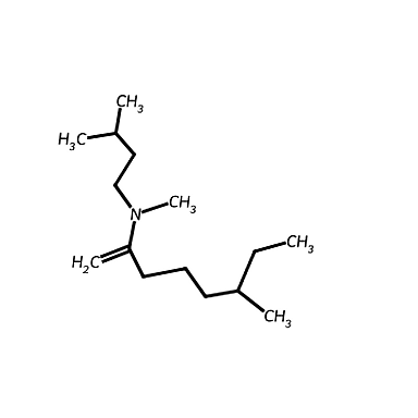 C=C(CCCC(C)CC)N(C)CCC(C)C